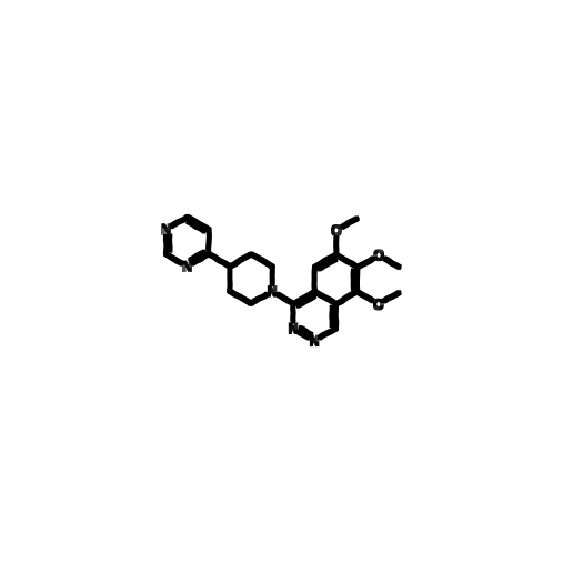 COc1cc2c(N3CCC(c4ccncn4)CC3)nncc2c(OC)c1OC